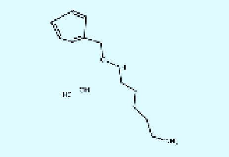 Cl.Cl.NCCCCCNOCc1ccccc1